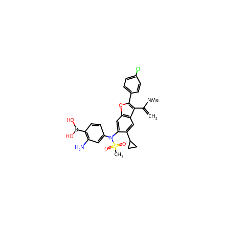 C=C(NC)c1c(-c2ccc(Cl)cc2)oc2cc(N(c3ccc(B(O)O)c(N)c3)S(C)(=O)=O)c(C3CC3)cc12